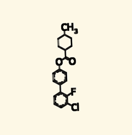 CC1CCC(C(=O)Oc2ccc(-c3cccc(Cl)c3F)cc2)CC1